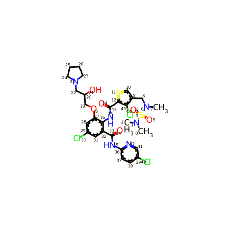 CN(C)S(=O)(=O)N(C)Cc1csc(C(=O)Nc2c(OCC(O)CN3CCCC3)cc(Cl)cc2C(=O)Nc2ccc(Cl)cn2)c1Cl